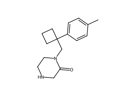 Cc1ccc(C2(CN3CCNCC3=O)CCC2)cc1